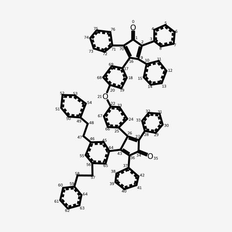 O=C1C(c2ccccc2)=C(c2ccccc2)C(c2ccc(Oc3ccc(C4=C(c5ccccc5)C(=O)C(c5ccccc5)=C4c4cc(CCc5ccccc5)cc(CCc5ccccc5)c4)cc3)cc2)=C1c1ccccc1